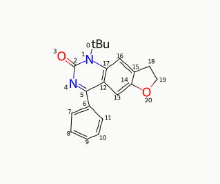 CC(C)(C)n1c(=O)nc(-c2ccccc2)c2cc3c(cc21)CCO3